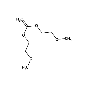 C=C(OCCOC)OCCOC